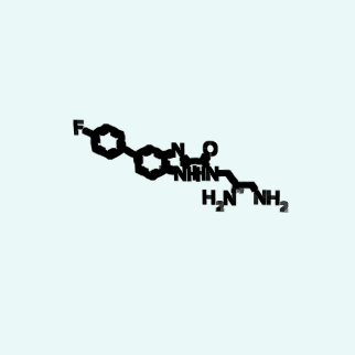 NC[C@H](N)CNC(=O)c1nc2cc(-c3ccc(F)cc3)ccc2[nH]1